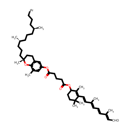 CC1=C(/C=C/C(C)=C/C=C/C(C)=C/C=O)C(C)(C)CCC1OC(=O)CCCC(=O)Oc1cc(C)c2c(c1)CC[C@@](C)(CCC[C@H](C)CCC[C@H](C)CCCC(C)C)O2